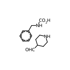 O=C(O)NCc1ccccc1.O=CC1CCNCC1